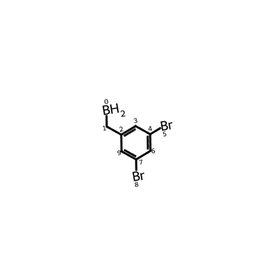 BCc1cc(Br)cc(Br)c1